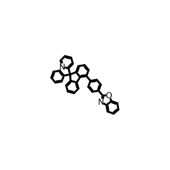 c1ccc(C2(c3ccccn3)c3ccccc3-c3c(-c4ccc(-c5nc6ccccc6o5)cc4)cccc32)cc1